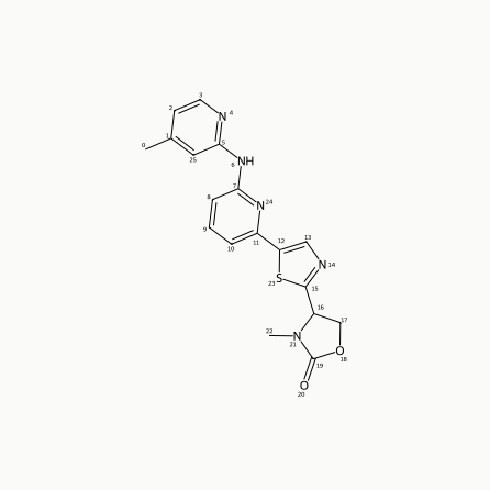 Cc1ccnc(Nc2cccc(-c3cnc(C4COC(=O)N4C)s3)n2)c1